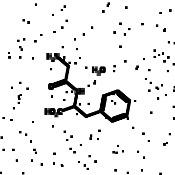 NCC(=O)NC(Cc1ccccc1)C(=O)O.O